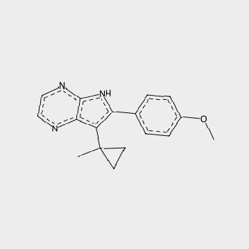 COc1ccc(-c2[nH]c3nccnc3c2C2(C)CC2)cc1